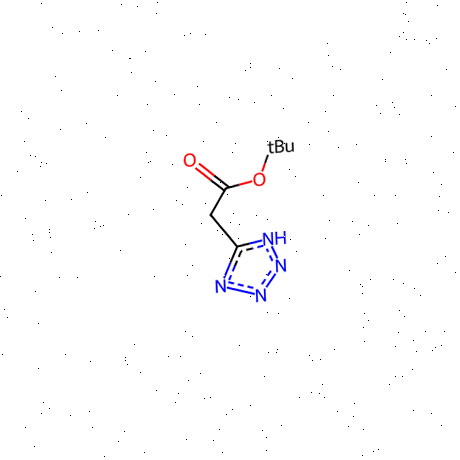 CC(C)(C)OC(=O)Cc1nnn[nH]1